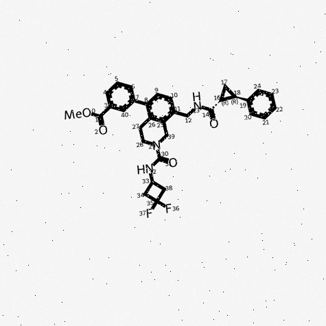 COC(=O)c1cccc(-c2ccc(CNC(=O)[C@@H]3C[C@H]3c3ccccc3)c3c2CCN(C(=O)NC2CC(F)(F)C2)C3)c1